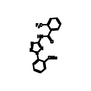 COc1ccccc1-n1nnc(NC(=O)c2ccccc2C(F)(F)F)n1